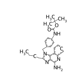 CCCCc1nc2c(N)nc3ccccc3c2n1Cc1ccc(NC(=O)OC(C)(C)C)cc1